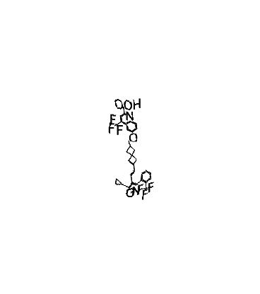 O=C(O)c1cc(C(F)(F)F)c2cc(OCC3CC4(CC(/C=C/c5c(-c6ccccc6C(F)(F)F)noc5C5CC5)C4)C3)ccc2n1